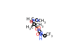 Cc1cc(C(=O)N(C)C2CCN(C)CC2)cc(C)c1/C=C/S(=O)(=O)N1CCC2(CC1)N=C(c1cccc(C(F)(F)F)c1)NC2=O